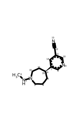 CNN1CCC[C@H](c2cncc(C#N)c2)CC1